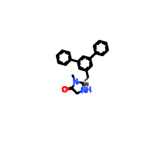 CN1C(=O)CN[C@H]1Cc1cc(-c2ccccc2)cc(-c2ccccc2)c1